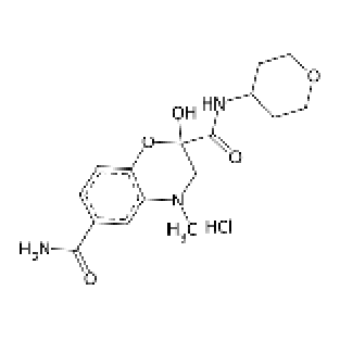 CN1CC(O)(C(=O)NC2CCOCC2)Oc2ccc(C(N)=O)cc21.Cl